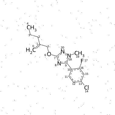 C=C(CCC)COc1nc(-c2ccc(Cl)cc2F)n(C)n1